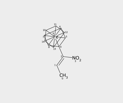 CC=C([N+](=O)[O-])[C]12[CH]3[CH]4[CH]5[CH]1[Fe]45321678[CH]2[CH]1[CH]6[CH]7[CH]28